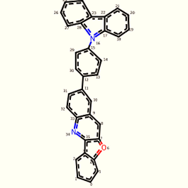 c1ccc2c(c1)oc1cc3cc(-c4ccc(-n5c6ccccc6c6ccccc65)cc4)ccc3nc12